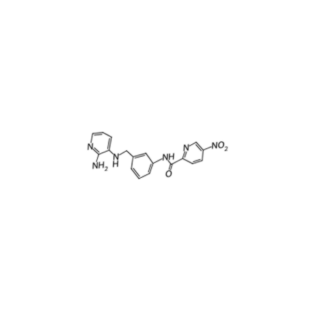 Nc1ncccc1NCc1cccc(NC(=O)c2ccc([N+](=O)[O-])cn2)c1